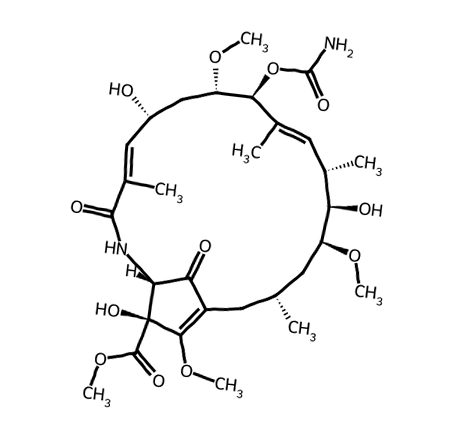 COC(=O)[C@@]1(O)C(OC)=C2C[C@@H](C)C[C@H](OC)[C@H](O)[C@@H](C)/C=C(\C)[C@H](OC(N)=O)[C@@H](OC)C[C@@H](O)/C=C(\C)C(=O)N[C@@H]1C2=O